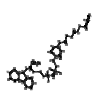 C[Si](C)(CCCN(CC1c2ccccc2-c2ccccc21)C(=O)O)O[Si](C)(C)CSc1ncc(COCCOCCN=[N+]=[N-])cn1